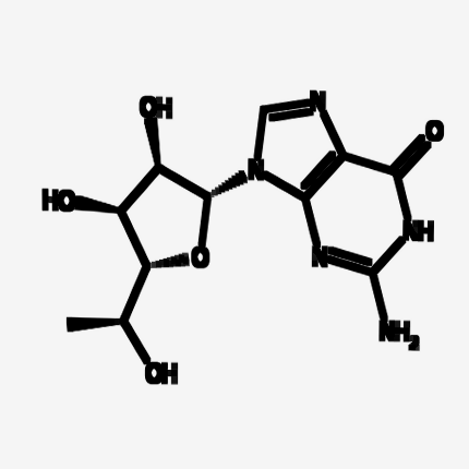 C[C@H](O)[C@H]1O[C@@H](n2cnc3c(=O)[nH]c(N)nc32)[C@H](O)[C@@H]1O